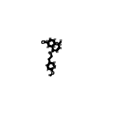 COc1ccc(CC/N=C(\C=C/C(C)=O)c2cccc(Cl)c2)cn1